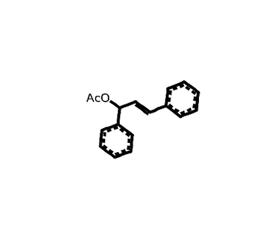 CC(=O)OC(/C=C/c1ccccc1)c1ccccc1